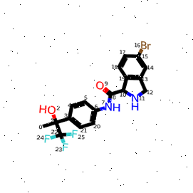 CC(O)(c1ccc(NC(=O)C2NCc3cc(Br)ccc32)cc1)C(F)(F)F